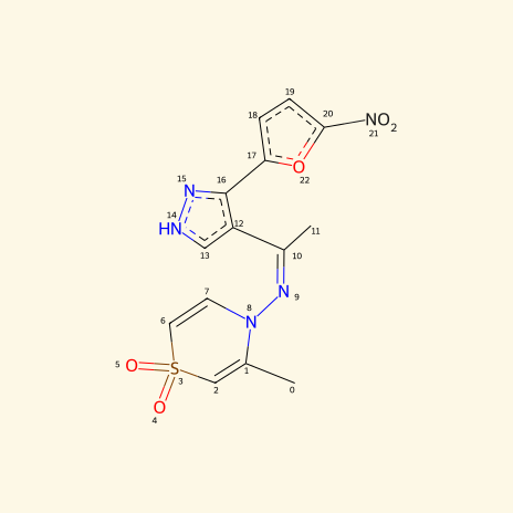 CC1=CS(=O)(=O)C=CN1N=C(C)c1c[nH]nc1-c1ccc([N+](=O)[O-])o1